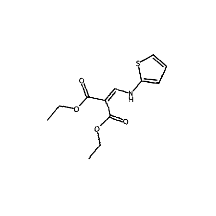 CCOC(=O)C(=CNc1cccs1)C(=O)OCC